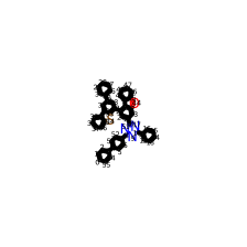 c1ccc(-c2ccc(-c3nc(-c4ccccc4)nc(-c4cc(-c5cc(-c6ccccc6)cc6c5sc5ccccc56)c5c(c4)oc4ccccc45)n3)cc2)cc1